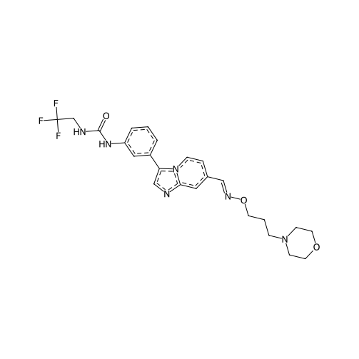 O=C(NCC(F)(F)F)Nc1cccc(-c2cnc3cc(C=NOCCCN4CCOCC4)ccn23)c1